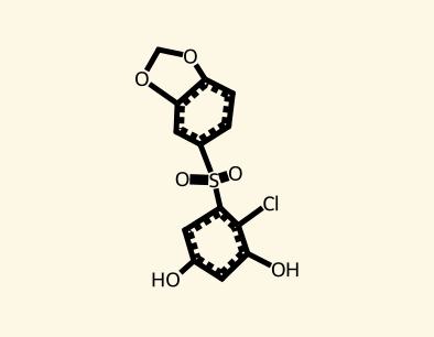 O=S(=O)(c1ccc2c(c1)OCO2)c1cc(O)cc(O)c1Cl